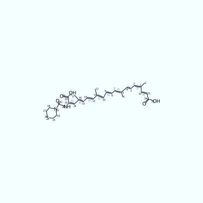 CC(=C/C=C/C(C)=C/C=C/C=C(C)/C=C/C=C(C)/C=C(/NC(=O)N1CCSCC1)C(=O)O)/C=C/C(=O)O